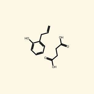 C=CCc1ccccc1O.O=C(O)CCC(=O)O